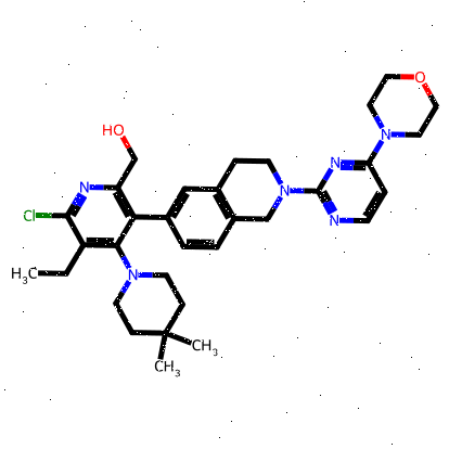 CCc1c(Cl)nc(CO)c(-c2ccc3c(c2)CCN(c2nccc(N4CCOCC4)n2)C3)c1N1CCC(C)(C)CC1